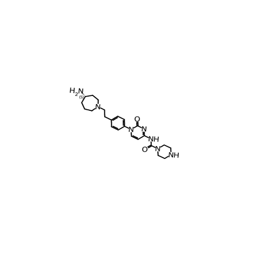 N[C@H]1CCCN(CCc2ccc(-n3ccc(NC(=O)N4CCNCC4)nc3=O)cc2)CC1